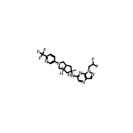 C[C@]1(Nc2cnc3cnn(CC(F)F)c3n2)CC2CN(c3ccc(C(F)(F)F)nc3)C[C@H]2C1